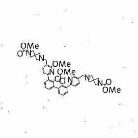 COC(=O)N1CC2(CN(Cc3ccc(-c4cccc(-c5cccc(-c6ccc(CN7CC8(C7)CN(C(=O)OC)C8)c(OC)n6)c5Cl)c4Cl)nc3OC)C2)C1